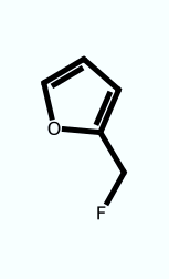 FCc1ccco1